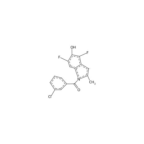 Cc1[c]c2c(F)c(O)c(F)cc2n1C(=O)c1cccc(Cl)c1